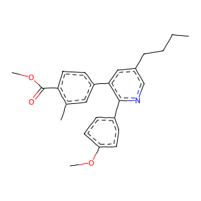 CCCCc1cnc(-c2ccc(OC)cc2)c(-c2ccc(C(=O)OC)c(C)c2)c1